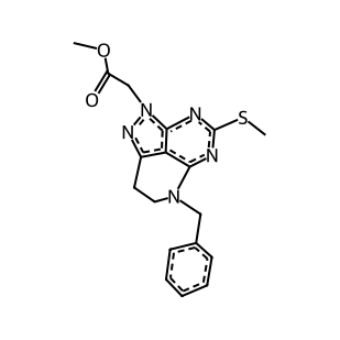 COC(=O)Cn1nc2c3c(nc(SC)nc31)N(Cc1ccccc1)CC2